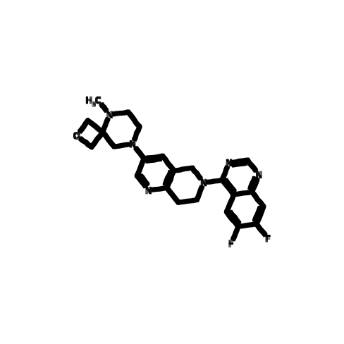 CN1CCN(c2cnc3c(c2)CN(c2ncnc4cc(F)c(F)cc24)CC3)CC12COC2